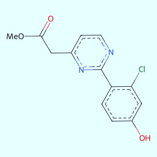 COC(=O)Cc1ccnc(-c2ccc(O)cc2Cl)n1